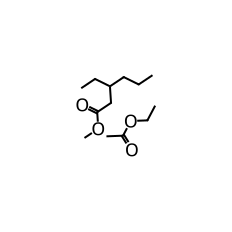 CCCC(CC)CC(=O)OC.CCOC(C)=O